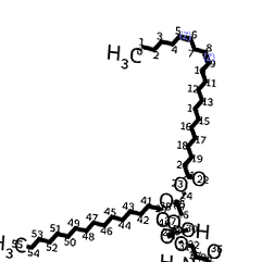 CCCCC/C=C\C/C=C\CCCCCCCCCCCC(=O)OC[C@H](COP(=O)(O)OC[C@H](N)C(=O)O)OC(=O)CCCCCCCCCCCCCCC